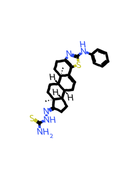 C[C@]12CCc3nc(Nc4ccccc4)sc3C1=CC[C@@H]1[C@@H]2CC[C@]2(C)/C(=N/NC(N)=S)CC[C@@H]12